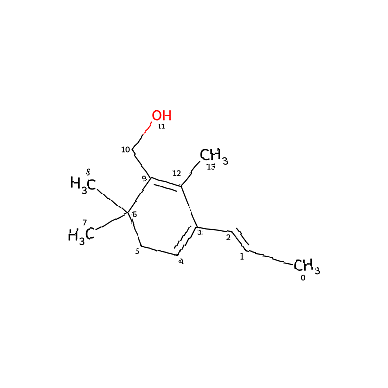 CC=CC1=CCC(C)(C)C(CO)=C1C